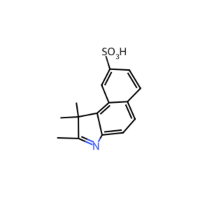 CC1=Nc2ccc3ccc(S(=O)(=O)O)cc3c2C1(C)C